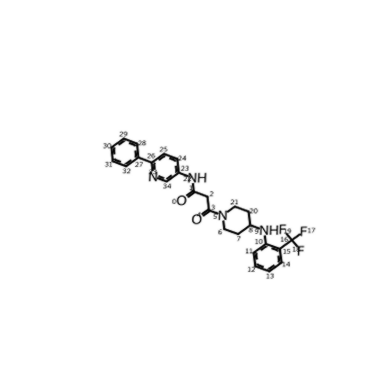 O=C(CC(=O)N1CCC(Nc2ccccc2C(F)(F)F)CC1)Nc1ccc(-c2ccccc2)nc1